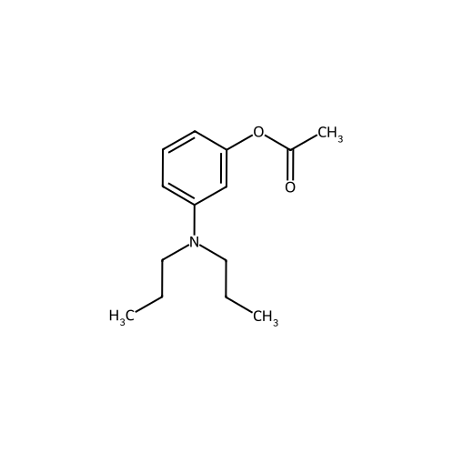 CCCN(CCC)c1cccc(OC(C)=O)c1